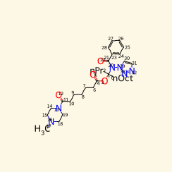 CCCCCCCC[C@](CCC)(OC(=O)CCCCCC(=O)N1CCN(C)CC1)N(C(=O)c1ccccc1)n1ccnn1